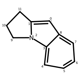 [c]1c2n(c3ccccc13)CCC2